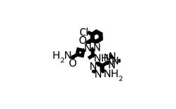 CC(Nc1ncnc(N)c1-c1nnn(C)n1)c1nc2cccc(Cl)c2c(=O)n1C1CC(C(N)=O)C1